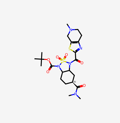 CN1CCc2nc(C(=O)N3C4C[C@@H](C(=O)N(C)C)CCC4N(C(=O)OC(C)(C)C)S3(=O)=O)sc2C1